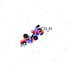 C#CCN(CNC(=O)[C@H](CC(c1ccccc1)[C@H](CCC)C(=O)N(CC)[C@@H](Cc1ccccc1)C(=O)N[C@@H](CC(C)C)C(=O)[C@@]1(C)CO1)NC(=O)CN1CCOCC1)C(=O)CCC(=O)O